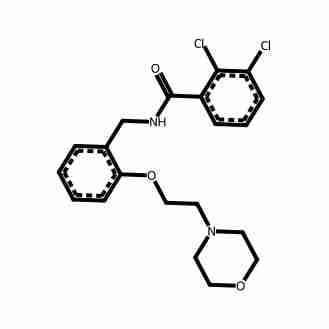 O=C(NCc1ccccc1OCCN1CCOCC1)c1cccc(Cl)c1Cl